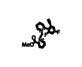 C#Cc1cc(F)cc(F)c1-c1cccc[n+]1CC[n+]1ccccc1C(=O)OC